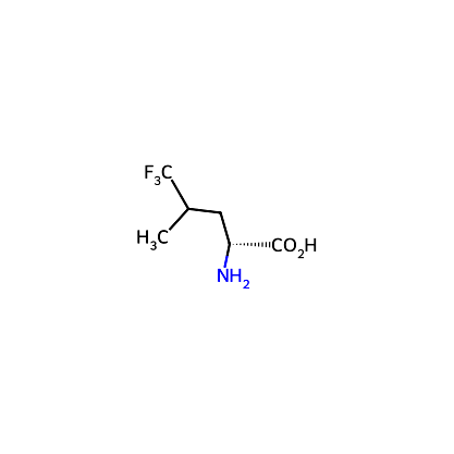 CC(C[C@@H](N)C(=O)O)C(F)(F)F